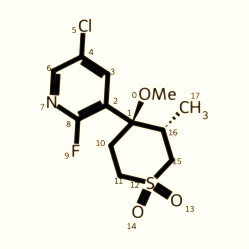 CO[C@]1(c2cc(Cl)cnc2F)CCS(=O)(=O)C[C@H]1C